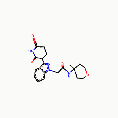 CC1(NC(=O)Cn2nc(C3CCC(=O)NC3=O)c3ccccc32)CCOCC1